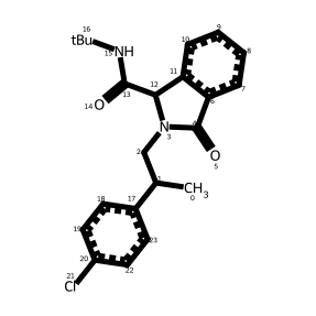 CC(CN1C(=O)c2ccccc2C1C(=O)NC(C)(C)C)c1ccc(Cl)cc1